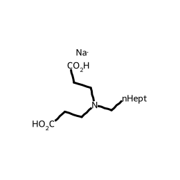 CCCCCCCCN(CCC(=O)O)CCC(=O)O.[Na]